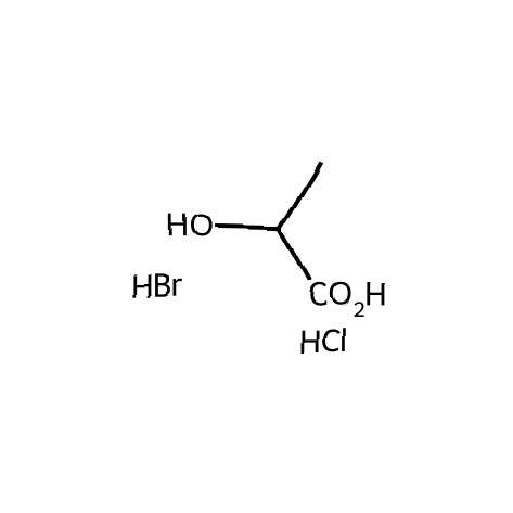 Br.CC(O)C(=O)O.Cl